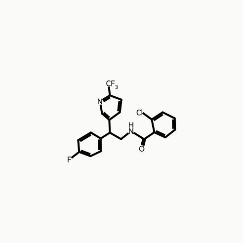 O=C(NCC(c1ccc(F)cc1)c1ccc(C(F)(F)F)nc1)c1ccccc1Cl